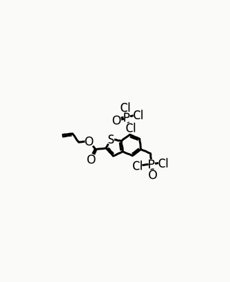 C=CCOC(=O)c1cc2cc(CP(=O)(Cl)Cl)ccc2s1.O=P(Cl)(Cl)Cl